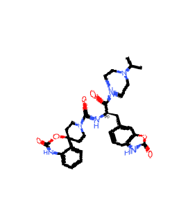 CC(C)N1CCN(C(=O)[C@@H](Cc2ccc3[nH]c(=O)oc3c2)NC(=O)N2CCC3(CC2)OC(=O)Nc2ccccc23)CC1